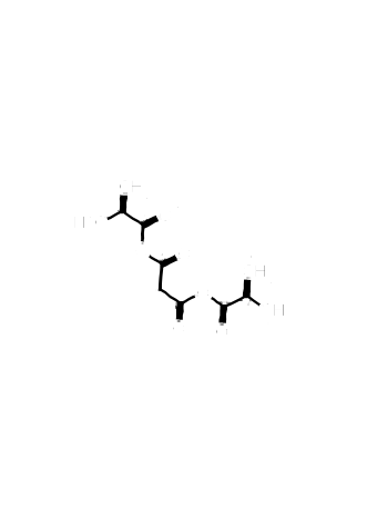 C=C(C)C(=O)OC(=O)CC(=O)OC(=O)C(=C)C